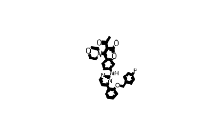 CC(=O)c1c(N2CCOCC2)c2ccc(Nc3nccc(-c4ccccc4OCc4ccc(F)cc4)n3)cc2oc1=O